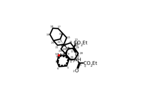 CCOC(=O)C(=O)Nc1ccccc1N(C(=O)C(=O)OCC)C1CC2CCCC(C1)C2[C@H]1C[C@@H]2CCC[C@@H](C2)C1